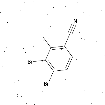 Cc1c(C#N)ccc(Br)c1Br